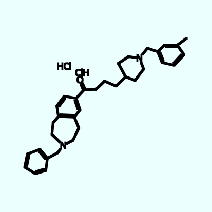 Cc1cccc(CN2CCC(CCCC(=O)c3ccc4c(c3)CCN(Cc3ccccc3)CC4)CC2)c1.Cl.Cl